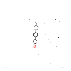 COc1ccc(-c2ccc(C3CCC(C)CC3)cc2)cc1